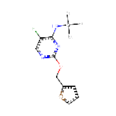 CC[Si](CC)(CC)Nc1nc(OCc2cccs2)ncc1F